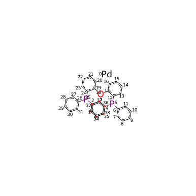 [Pd].c1ccc(P(c2ccccc2)c2ccccc2Oc2ccccc2P(c2ccccc2)c2ccccc2)cc1